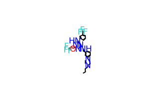 CCCCN1CCN(c2cccc(CNc3nc(Nc4cccc(C(F)(F)F)c4)nc(OCC(F)(F)F)n3)c2)CC1